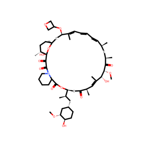 CO[C@@H]1C[C@H](C[C@@H](C)[C@@H]2CC(=O)[C@H](C)/C=C(\C)[C@@H](O)[C@@H](OC)C(=O)[C@H](C)C[C@H](C)/C=C/C=C/C=C(\C)[C@H](OC3COC3)C[C@@H]3CC[C@@H](C)[C@@](O)(O3)C(=O)C(=O)N3CCCCC3C(=O)O2)CC[C@H]1O